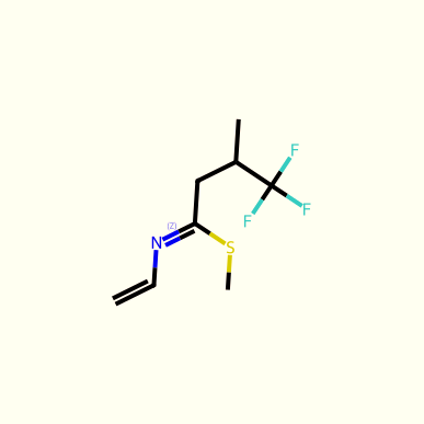 C=C/N=C(/CC(C)C(F)(F)F)SC